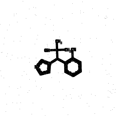 CC(C)(N=O)C(c1ccccc1C#N)n1ccnc1